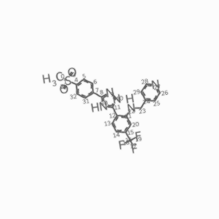 CS(=O)(=O)c1ccc(-c2nnc(-c3ccc(C(F)(F)F)cc3NCc3ccncc3)[nH]2)cc1